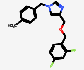 O=C(O)c1ccc(Cn2cnc(COCc3ccc(F)cc3F)c2)cc1